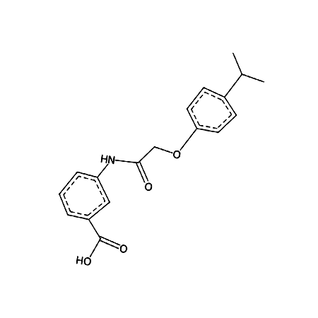 CC(C)c1ccc(OCC(=O)Nc2cccc(C(=O)O)c2)cc1